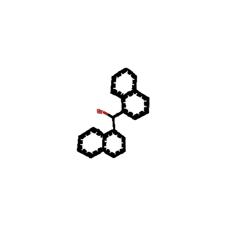 BrC(c1cccc2ccccc12)c1cccc2ccccc12